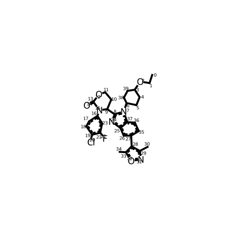 CCOC1CCC(n2c(C3CCOC(=O)N3c3ccc(Cl)c(F)c3)nc3cc(-c4c(C)noc4C)ccc32)CC1